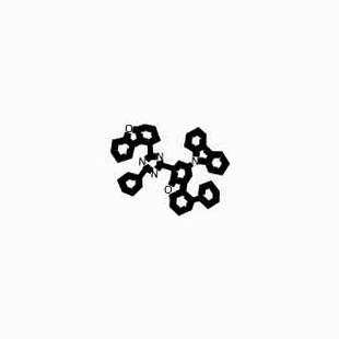 c1ccc(-c2nc(-c3cc(-n4c5ccccc5c5ccccc54)cc4c3oc3cccc(-c5ccccc5)c34)nc(-c3cccc4oc5ccccc5c34)n2)cc1